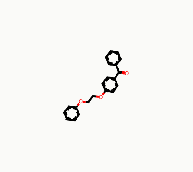 O=C(c1ccccc1)c1ccc(OCCOc2cc[c]cc2)cc1